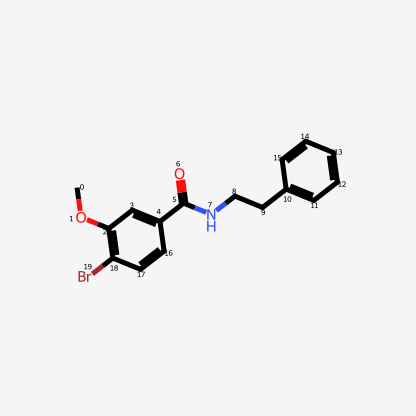 COc1cc(C(=O)NCCc2ccccc2)ccc1Br